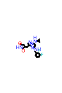 O=C1C/C(=C\c2cnn3c(NC4CC4)cc(NCc4cccc(F)c4F)nc23)C(=O)N1